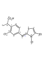 CCc1cs/c(=N\c2ccc(C(C)C(=O)O)c(Cl)c2)n1CC